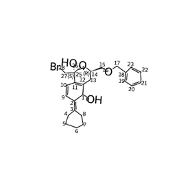 OC1C(=C2CCCCC2)C=CC2=C1C[C@H](COCc1ccccc1)O[C@]2(O)CBr